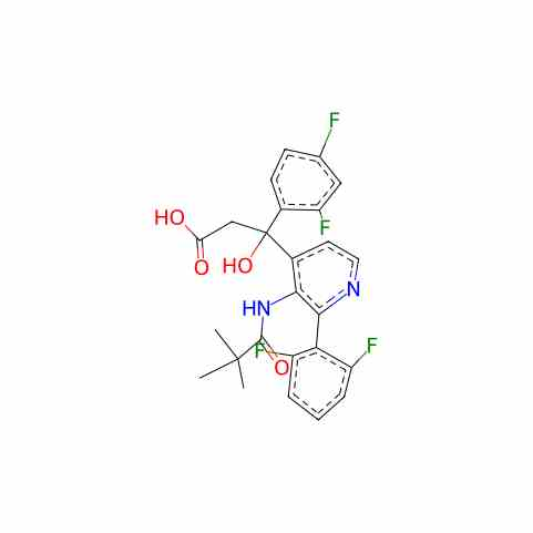 CC(C)(C)C(=O)Nc1c(C(O)(CC(=O)O)c2ccc(F)cc2F)ccnc1-c1c(F)cccc1F